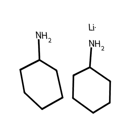 NC1CCCCC1.NC1CCCCC1.[Li]